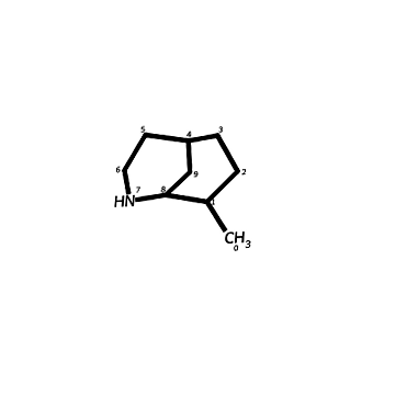 CC1CCC2CCNC1C2